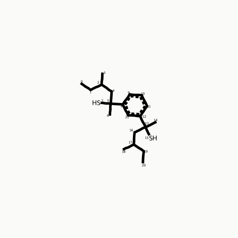 CCC(C)CC(C)(S)c1cccc(C(C)(S)CC(C)CC)c1